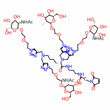 CC(=O)N[C@H]1[C@H](OCCOCCn2cc(CN(CCCC[C@@H](C(=O)NCCCNC(=O)CCN3C(=O)C=CC3=O)N(Cc3cn(CCOCCO[C@@H]4O[C@H](CO)[C@H](O)[C@H](O)[C@H]4C)nn3)Cc3cn(CCOCCO[C@@H]4O[C@H](CO)[C@H](O)[C@H](O)[C@H]4NC(C)=O)nn3)Cc3cn(CCOCCO[C@@H]4O[C@H](CO)[C@H](O)[C@H](O)[C@H]4NC(C)=O)nn3)nn2)O[C@H](CO)[C@H](O)[C@@H]1O